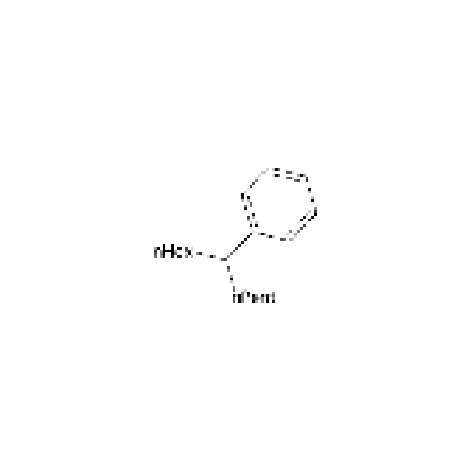 CCCCCCC(CCCCC)c1ccccc1